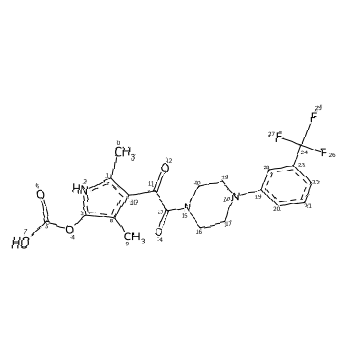 Cc1[nH]c(OC(=O)O)c(C)c1C(=O)C(=O)N1CCN(c2cccc(C(F)(F)F)c2)CC1